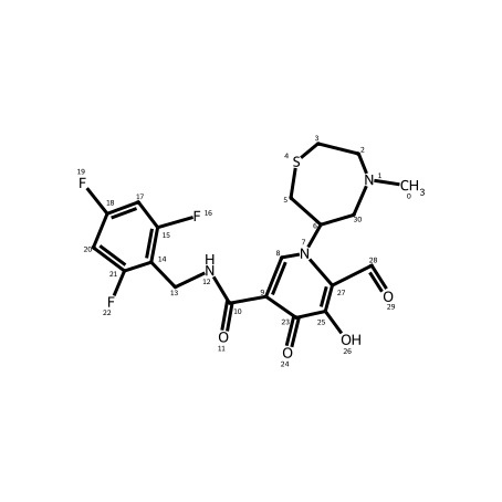 CN1CCSCC(n2cc(C(=O)NCc3c(F)cc(F)cc3F)c(=O)c(O)c2C=O)C1